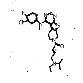 CCN(C/C=C/C(=O)N1CCc2c(sc3ncnc(Nc4ccc(F)c(Cl)c4)c23)C1)C(C)C